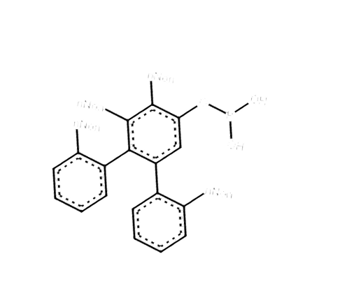 CCCCCCCCCc1ccccc1-c1cc(OP(O)O)c(CCCCCCCCC)c(CCCCCCCCC)c1-c1ccccc1CCCCCCCCC